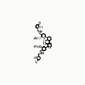 COc1cc(-c2nccc(-c3cccc(-c4ccc(CNC[C@H]5CCC(=O)N5)c(OC)n4)c3Cl)c2Cl)ccc1CNC[C@H]1CCC(=O)N1